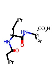 CC(C)CC(=O)N[C@@H](CC(C)C)C(=O)N[C@H](C(=O)O)C(C)C